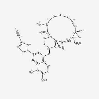 C#Cc1csc(-c2cc(O[C@H]3CCN4C(=O)N(C)CCCC/C=C\[C@@H]5C[C@@]5(C(=O)O)NC(=O)[C@@H]4C3)c3ccc(OC)c(C)c3n2)n1